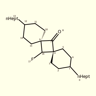 CCCCCCCC1CC[C@]2(CC1)C(=O)[C@@]1(CCC(CCCCCCC)CC1)C2F